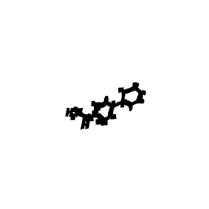 NNc1ncc(-c2ccccc2)cn1